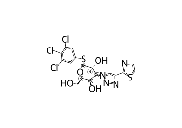 OC[C@H]1O[C@H](Sc2cc(Cl)c(Cl)c(Cl)c2)[C@H](O)[C@@H](n2cc(-c3nccs3)nn2)[C@H]1O